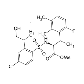 COC(=O)[C@@H](NS(=O)(=O)c1ccc(Cl)cc1C(C)CO)C(C)c1c(F)ccc(C)c1C